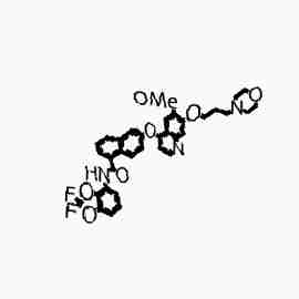 COc1cc2c(Oc3ccc4c(C(=O)Nc5cccc6c5OC(F)(F)O6)cccc4c3)ccnc2cc1OCCCN1CCOCC1